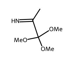 COC(OC)(OC)C(C)=N